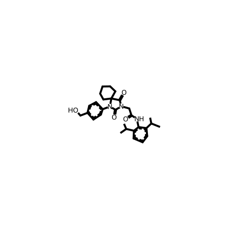 CC(C)c1cccc(C(C)C)c1NC(=O)CN1C(=O)N(c2ccc(CO)cc2)C2(CCCCC2)C1=O